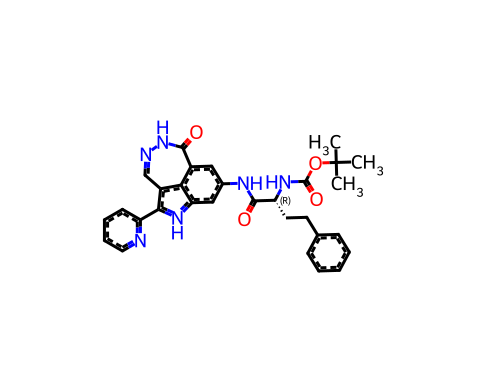 CC(C)(C)OC(=O)N[C@H](CCc1ccccc1)C(=O)Nc1cc2c3c(c(-c4ccccn4)[nH]c3c1)C=NNC2=O